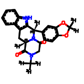 [2H]C1([2H])Oc2ccc([C@]3([2H])c4[nH]c5ccccc5c4C[C@]4([2H])C(=O)N(C([2H])([2H])[2H])CC(=O)N34)cc2O1